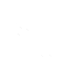 Cn1nc2ccc(-c3cc(C(F)(F)F)n[nH]3)cc2n1